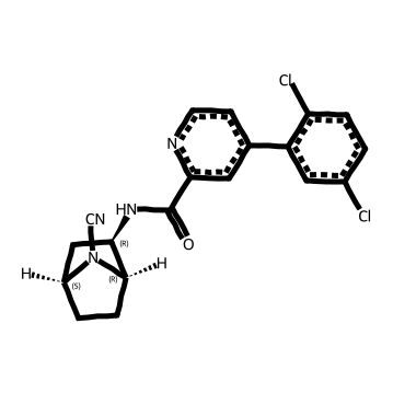 N#CN1[C@H]2CC[C@@H]1[C@H](NC(=O)c1cc(-c3cc(Cl)ccc3Cl)ccn1)C2